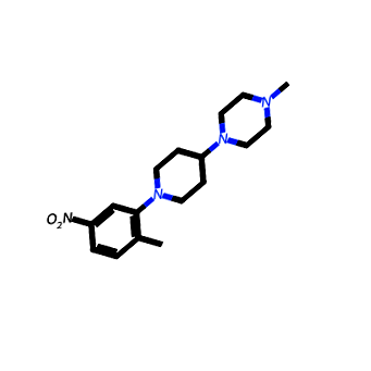 Cc1ccc([N+](=O)[O-])cc1N1CCC(N2CCN(C)CC2)CC1